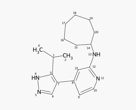 CC(C)c1[nH]ncc1-c1ccnc(NC2CCCCCC2)c1